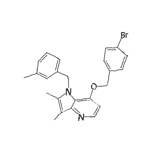 Cc1cccc(Cn2c(C)c(C)c3nccc(OCc4ccc(Br)cc4)c32)c1